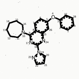 c1ccc(Oc2ccc3c(N4CCCCCC4)nc(-n4cccn4)nc3c2)cc1